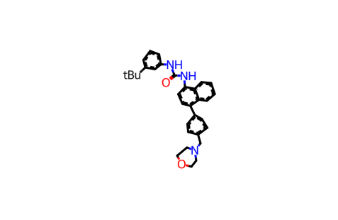 CC(C)(C)c1cccc(NC(=O)Nc2ccc(-c3ccc(CN4CCOCC4)cc3)c3ccccc23)c1